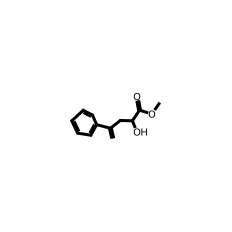 C=C(CC(O)C(=O)OC)c1ccccc1